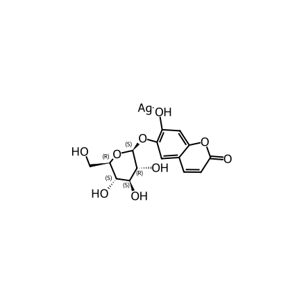 O=c1ccc2cc(O[C@@H]3O[C@H](CO)[C@@H](O)[C@H](O)[C@H]3O)c(O)cc2o1.[Ag]